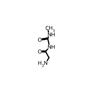 CNC(=O)NC(=O)CN